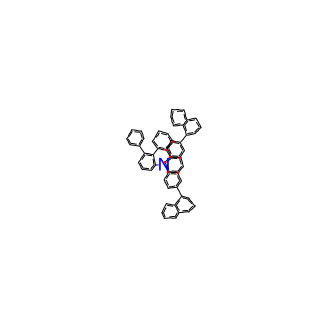 c1ccc(-c2ccccc2-c2c(-c3ccccc3)cccc2N(c2ccc(-c3cccc4ccccc34)cc2)c2ccc(-c3cccc4ccccc34)cc2)cc1